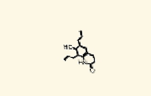 C=CCc1cc2c(c(CC=C)c1O)NC(=O)CC2